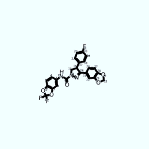 O=C(Nc1ccc2c(c1)OC(F)(F)O2)N1CC(c2ccc(F)cc2)C(c2ccc3c(c2)OCO3)=N1